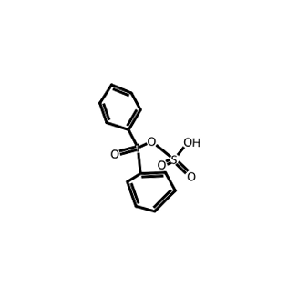 O=S(=O)(O)OI(=O)(c1ccccc1)c1ccccc1